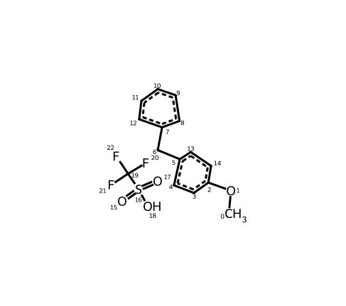 COc1ccc(Cc2ccccc2)cc1.O=S(=O)(O)C(F)(F)F